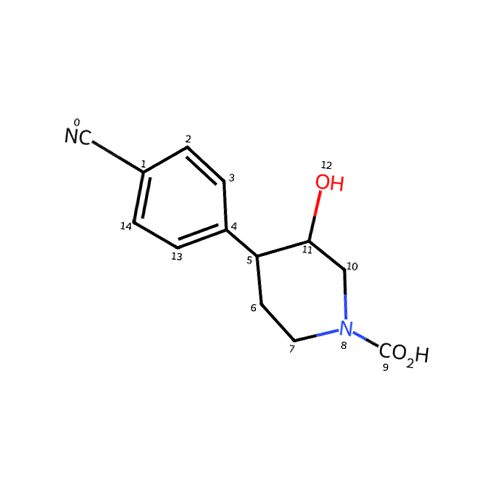 N#Cc1ccc(C2CCN(C(=O)O)CC2O)cc1